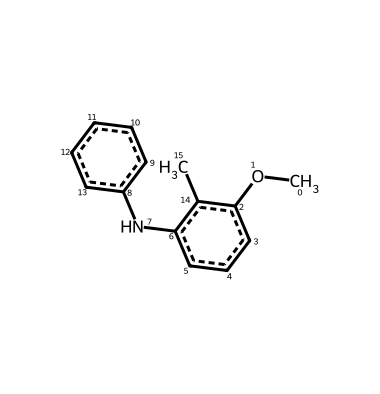 COc1cccc(Nc2ccccc2)c1C